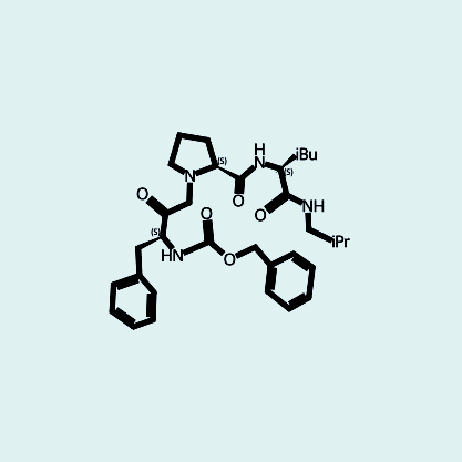 CCC(C)[C@H](NC(=O)[C@@H]1CCCN1CC(=O)[C@H](Cc1ccccc1)NC(=O)OCc1ccccc1)C(=O)NCC(C)C